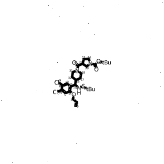 C=CCOc1cc(Cl)c(Cl)cc1C(NSC(C)(C)C)C1CCN(C(=O)C2CCN(C(=O)OC(C)(C)C)C2)CC1